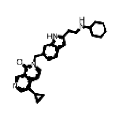 O=c1c2cncc(C3CC3)c2ccn1Cc1ccc2cc(CCNC3CCCCC3)[nH]c2c1